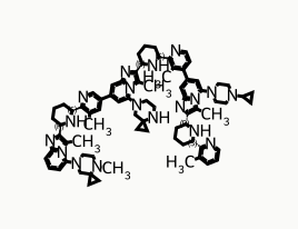 Cc1cccnc1[C@@H]1CCC[C@H](c2nc3cc(-c4ccnc([C@@H]5CCC[C@H](c6nc7cc(-c8cnc([C@@H]9CCC[C@H](c%10nc%11cccc(N%12CCN(C)C%13(CC%13)C%12)n%11c%10C)N9)c(C)c8)cc(N8CCNC9(CC9)C8)n7c6C)N5)c4C)cc(N4CCN(C5CC5)CC4)n3c2C)N1